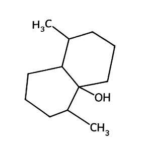 CC1CCCC2(O)C(C)CCCC12